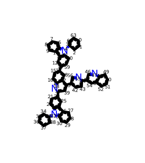 c1ccc(-n2c3ccccc3c3cc(-c4ccc5nc(-c6ccc7c(c6)c6ccccc6n7-c6ccccc6)cc(-c6ccc(-c7cnc8ccccc8c7)nc6)c5c4)ccc32)cc1